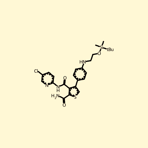 CC(C)(C)[Si](C)(C)OCCNc1ccc(-c2csc(C(N)=O)c2C(=O)Nc2ccc(Cl)cn2)cc1